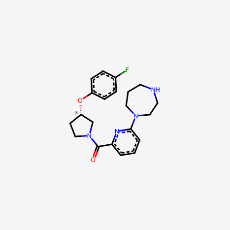 O=C(c1cccc(N2CCCNCC2)n1)N1CC[C@H](Oc2ccc(F)cc2)C1